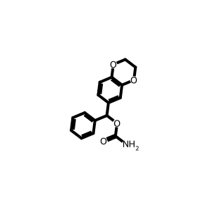 NC(=O)OC(c1ccccc1)c1ccc2c(c1)OCCO2